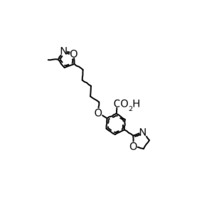 Cc1cc(CCCCCOc2ccc(C3=NCCO3)cc2C(=O)O)on1